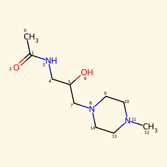 CC(=O)NCC(O)CN1CCN(C)CC1